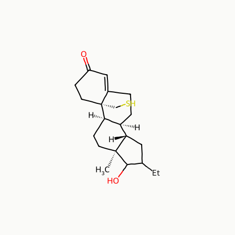 CCC1C[C@H]2[C@@H]3CCC4=CC(=O)CC[C@]4(CS)[C@@H]3CC[C@]2(C)C1O